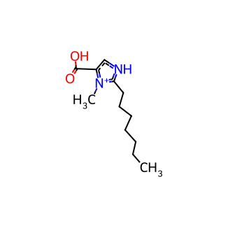 CCCCCCCc1[nH]cc(C(=O)O)[n+]1C